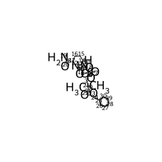 CC(C)(COS(=O)(=O)ON1C(=O)N2C[C@H]1CC[C@H]2C(N)=O)C(=O)OCc1ccccc1